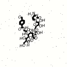 Nc1ccn([C@@H]2OC(COP(=O)(O)O[C@@]3(C(=O)O)C[C@@H](O)[C@@H](NC(=O)CNC(=O)c4ccc(C=O)cc4)C([C@H](O)[C@H](O)CO)O3)[C@H](O)[C@@H]2O)c(=O)n1